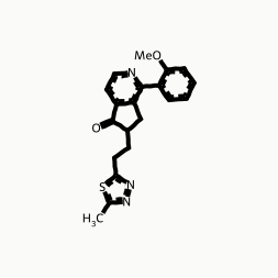 COc1ccccc1-c1nccc2c1CC(CCc1nnc(C)s1)C2=O